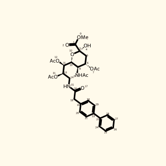 COC(=O)[C@@]1(O)C[C@H](OC(C)=O)[C@@H](NC(C)=O)[C@H]([C@H](OC(C)=O)[C@@H](CNC(=O)Cc2ccc(-c3ccccc3)cc2)OC(C)=O)O1